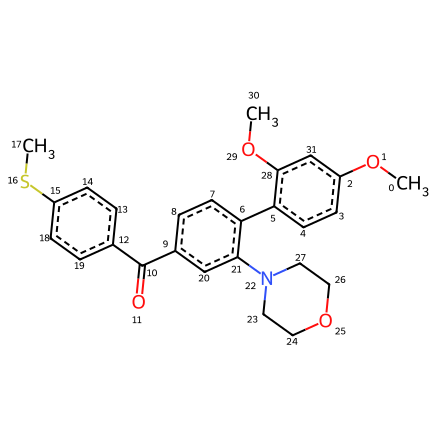 COc1ccc(-c2ccc(C(=O)c3ccc(SC)cc3)cc2N2CCOCC2)c(OC)c1